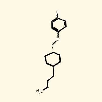 C[CH]CC[C@H]1CC[C@H](COc2ccc(F)cc2)CC1